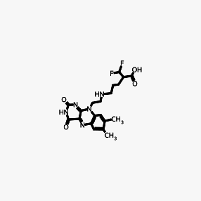 Cc1cc2nc3c(=O)[nH]c(=O)nc-3n(CCNCCCC(C(=O)O)C(F)F)c2cc1C